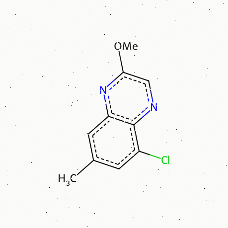 COc1cnc2c(Cl)cc(C)cc2n1